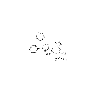 CC1(C=O)CC(C)(C(N)=O)CC(C)(C2=N[C@@H](c3ccccc3)[C@H](c3ccccc3)O2)C1